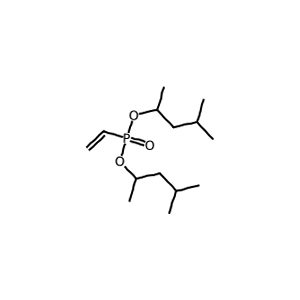 C=CP(=O)(OC(C)CC(C)C)OC(C)CC(C)C